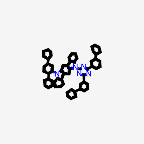 c1ccc(-c2cccc(-c3nc(-c4cccc(-c5ccccc5)c4)nc(-n4c5ccccc5c5cc6c(cc54)c4ccccc4n6-c4cc(-c5ccccc5)ccc4-c4ccccc4)n3)c2)cc1